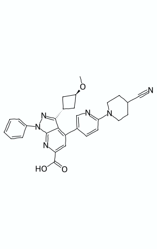 CO[C@H]1C[C@H](c2nn(-c3ccccc3)c3nc(C(=O)O)cc(-c4ccc(N5CCC(C#N)CC5)nc4)c32)C1